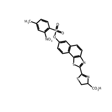 Cc1ccc(S(=O)(=O)Oc2ccc3c(ccc4nc(C5=NC(C(=O)O)CS5)sc43)c2)c([N+](=O)[O-])c1